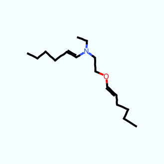 CCCCC=COCCN(C=CCCCC)CC